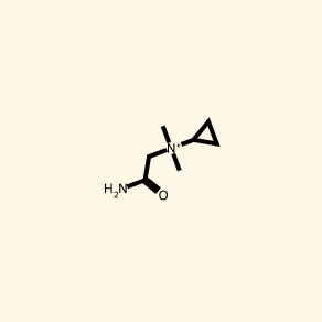 C[N+](C)(CC(N)=O)C1CC1